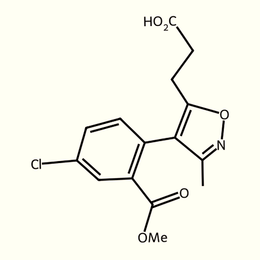 COC(=O)c1cc(Cl)ccc1-c1c(C)noc1CCC(=O)O